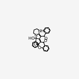 O=C1Oc2ccccc2C(=O)C1=C1C(C(=O)c2ccccc2)=C2NCCCN2C1(O)c1ccccc1